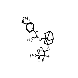 C=Cc1ccc(OC(C)OC23CC4CC(CC(OC(=O)C(F)(F)S(=O)(=O)O)(C4)C2)C3)cc1